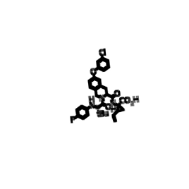 C=CC1CC1(NC(=O)C1Cc2cc(Oc3cccc(Cl)c3)ccc2CN1C(=O)[C@@H](Nc1ccc(F)cc1)C(C)(C)C)C(=O)O